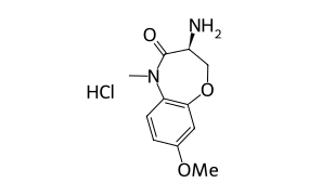 COc1ccc2c(c1)OC[C@H](N)C(=O)N2C.Cl